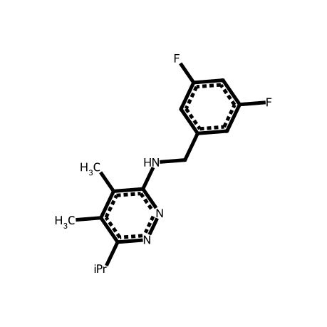 Cc1c(NCc2cc(F)cc(F)c2)nnc(C(C)C)c1C